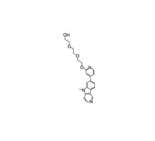 Cn1c2ccncc2c2ccc(-c3ccnc(OCCOCCOCCO)c3)cc21